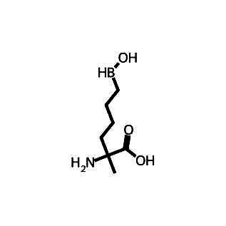 CC(N)(CCCCBO)C(=O)O